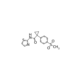 CS(=O)(=O)c1ccc(C2(C(=O)Nc3nccs3)CC2)cc1